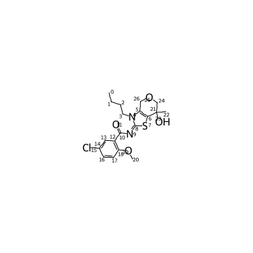 CCCCn1c2c(sc1=NC(=O)c1cc(Cl)ccc1OC)C(C)(O)COC2